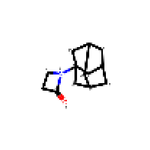 O=C1CCN1C12CC3CC(CC(C3)C1)C2